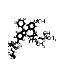 COc1ccc2c(c1)C1CC1(C(=O)N(C)CCN(C)C)Cn1c-2c(C2CCCCC2)c2ccc(C(=O)NS(=O)(=O)CCC(F)(F)F)cc21